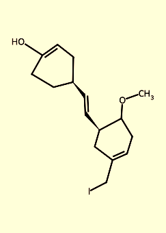 COC1CC=C(CI)C[C@H]1/C=C/[C@@H]1CC=C(O)CC1